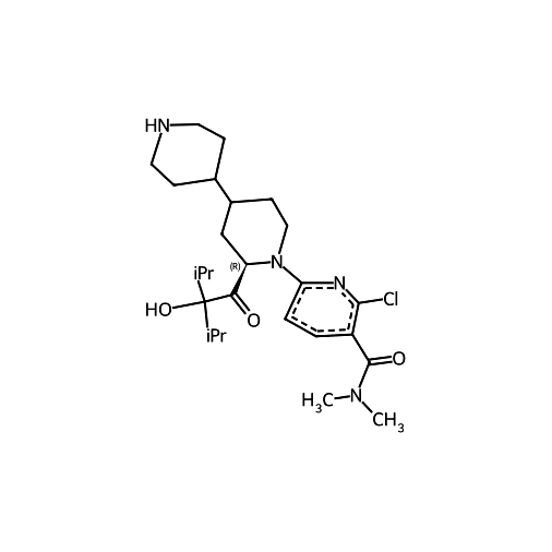 CC(C)C(O)(C(=O)[C@H]1CC(C2CCNCC2)CCN1c1ccc(C(=O)N(C)C)c(Cl)n1)C(C)C